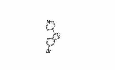 Brc1ccc2c(-c3ccncc3)occ2c1